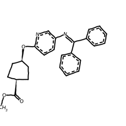 COC(=O)[C@H]1CC[C@@H](Oc2ccc(N=C(c3ccccc3)c3ccccc3)cn2)CC1